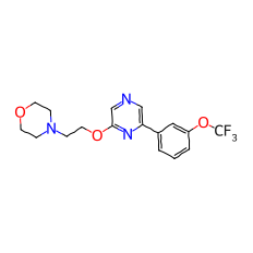 FC(F)(F)Oc1cccc(-c2cncc(OCCN3CCOCC3)n2)c1